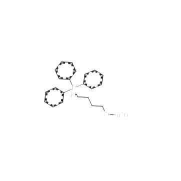 CCCCOCCCC[PH](c1ccccc1)(c1ccccc1)c1ccccc1